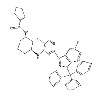 O=C(N[C@@H]1CCC[C@H](Nc2nc(-c3nn(C(c4ccccc4)(c4ccccc4)c4ccccc4)c4ncc(F)cc34)ncc2F)C1)N1CCCC1